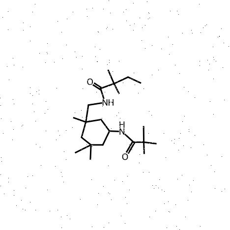 CCC(C)(C)C(=O)NCC1(C)CC(NC(=O)C(C)(C)C)CC(C)(C)C1